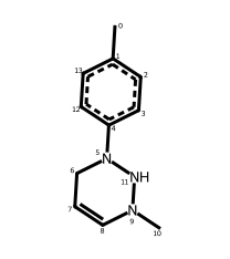 Cc1ccc(N2CC=CN(C)N2)cc1